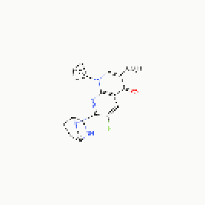 O=C(O)c1cn(C23CC(C2)C3)c2nc(N3CC4CCC3CN4)c(F)cc2c1=O